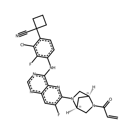 C=CC(=O)N1C[C@@H]2C[C@H]1CN2c1nc2c(Nc3ccc(C4(C#N)CCC4)c(Cl)c3F)ncnc2cc1F